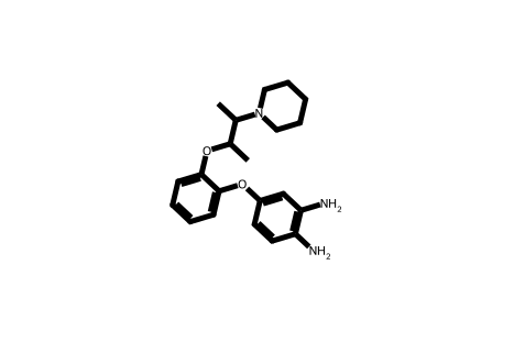 CC(Oc1ccccc1Oc1ccc(N)c(N)c1)C(C)N1CCCCC1